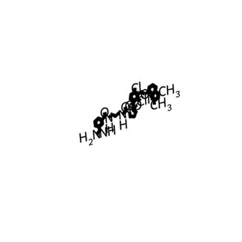 Cc1cc(C)c2cccc(OCc3c(Cl)ccc(S(=O)(=O)N4CCC[C@H]4C(=O)NCCCNC(=O)c4cccc(C(=N)N)c4)c3Cl)c2n1